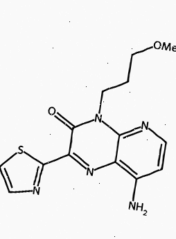 COCCCn1c(=O)c(-c2nccs2)nc2c(N)ccnc21